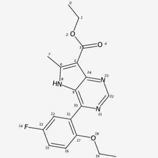 CCOC(=O)c1c(C)[nH]c2c(-c3cc(F)ccc3OCC)ncnc12